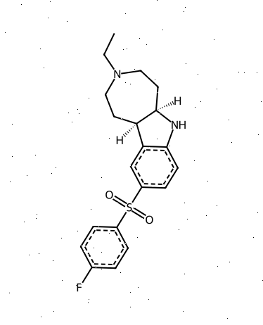 CCN1CC[C@@H]2c3cc(S(=O)(=O)c4ccc(F)cc4)ccc3N[C@@H]2CC1